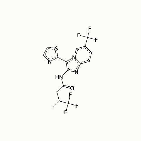 CC(CC(=O)Nc1nc2ccc(C(F)(F)F)cn2c1-c1nccs1)C(F)(F)F